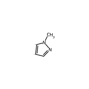 Cn1[c][c]cn1